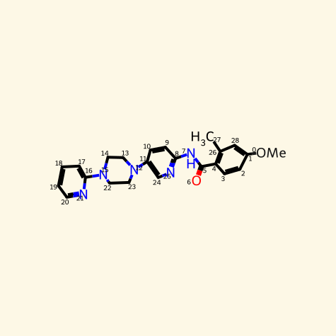 COc1ccc(C(=O)Nc2ccc(N3CCN(c4ccccn4)CC3)cn2)c(C)c1